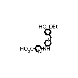 CCOc1cc(CN2CCC(Nc3ccc(C(=O)O)cn3)CC2)ccc1O